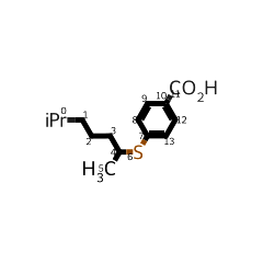 CC(C)CCCC(C)Sc1ccc(C(=O)O)cc1